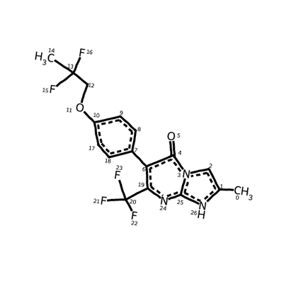 Cc1cn2c(=O)c(-c3ccc(OCC(C)(F)F)cc3)c(C(F)(F)F)nc2[nH]1